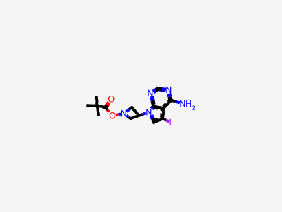 CC(C)(C)C(=O)ON1CC(n2cc(I)c3c(N)ncnc32)C1